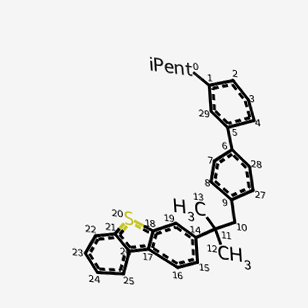 CCCC(C)c1cccc(-c2ccc(CC(C)(C)c3ccc4c(c3)sc3ccccc34)cc2)c1